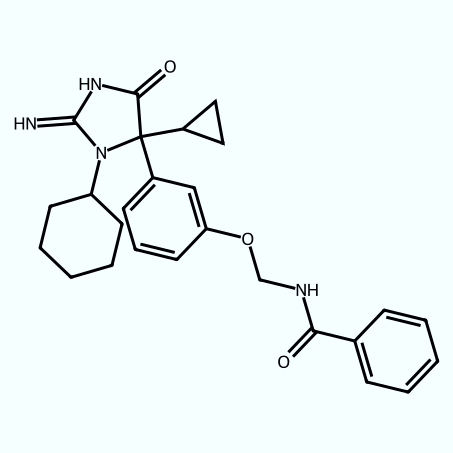 N=C1NC(=O)C(c2cccc(OCNC(=O)c3ccccc3)c2)(C2CC2)N1C1CCCCC1